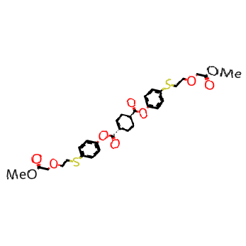 COC(=O)COCCSc1ccc(OC(=O)[C@H]2CC[C@H](C(=O)Oc3ccc(SCCOCC(=O)OC)cc3)CC2)cc1